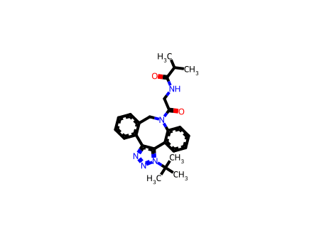 CC(C)C(=O)NCC(=O)N1Cc2ccccc2-c2nnn(C(C)(C)C)c2-c2ccccc21